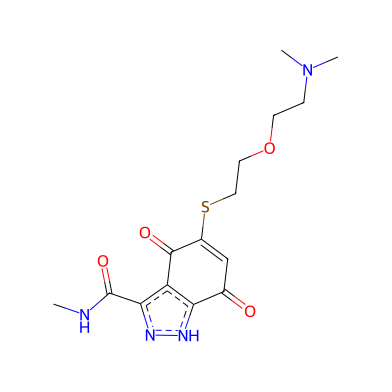 CNC(=O)c1n[nH]c2c1C(=O)C(SCCOCCN(C)C)=CC2=O